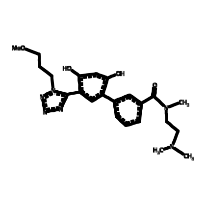 COCCCn1nnnc1-c1cc(-c2cccc(C(=O)N(C)CCN(C)C)c2)c(O)cc1O